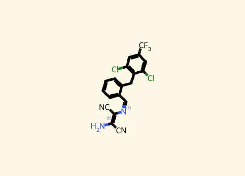 N#C/C(N)=C(C#N)\N=C/c1ccccc1Cc1c(Cl)cc(C(F)(F)F)cc1Cl